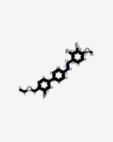 CCOCc1ccc(-c2ccc(/C=C/c3ccc(OC)c(F)c3F)cc2)cc1F